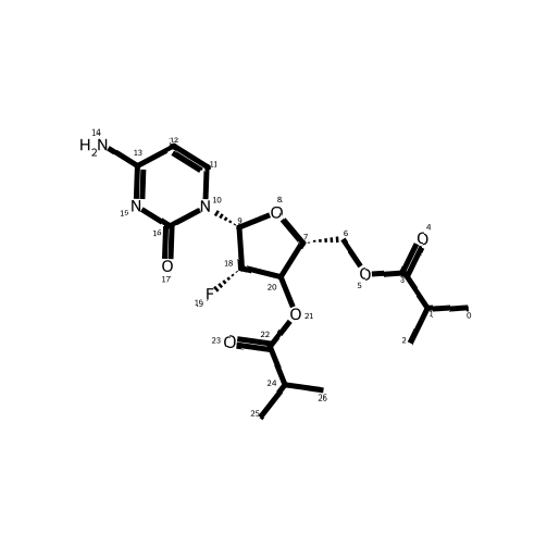 CC(C)C(=O)OC[C@H]1O[C@@H](n2ccc(N)nc2=O)[C@@H](F)C1OC(=O)C(C)C